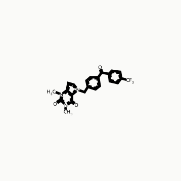 Cn1c(=O)c2c(ccn2Cc2ccc(C(=O)c3ccc(C(F)(F)F)cc3)cc2)n(C)c1=O